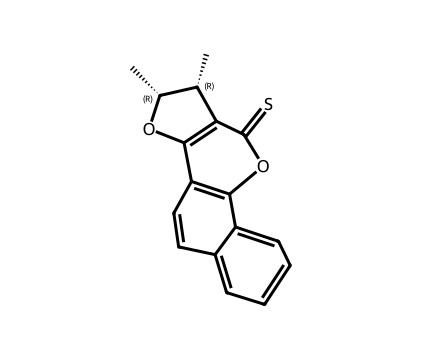 C[C@@H]1c2c(c3ccc4ccccc4c3oc2=S)O[C@@H]1C